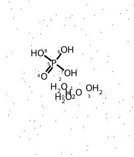 O.O.O.O.O=P(O)(O)O